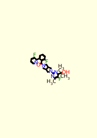 Cc1nc(N2CC3CN(C(=O)c4c(F)cccc4-c4ncccc4F)CC3C2)nc(C(C)(C)O)c1F